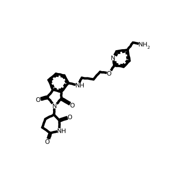 NCc1ccc(OCCCNc2cccc3c2C(=O)N(C2CCC(=O)NC2=O)C3=O)nc1